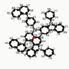 c1ccc(-n2c3ccccc3c3ccc(-c4cc5c6ccccc6n(-c6ccccc6)c5cc4N(c4ccc(-c5cccc6ccccc56)cc4)c4ccc(-c5cccc6ccccc56)cc4)cc32)cc1